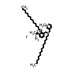 CCCCCCCCCCCCCCCCN(Cc1ccc[n+](C)c1)Cc1cccc(C(C)(C)C)c1OCCCCCCCCCCCCCC.[I-]